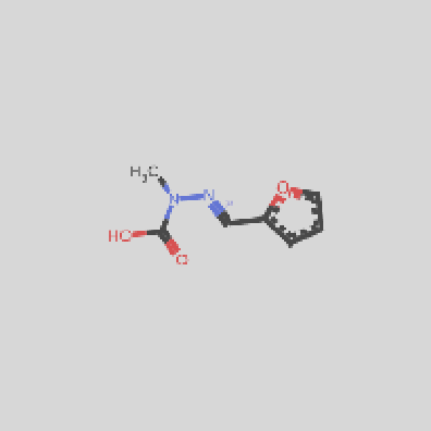 CN(/N=C/c1ccco1)C(=O)O